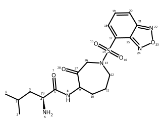 CC(C)C[C@H](N)C(=O)NC1CCCN(S(=O)(=O)c2cccc3nonc23)CC1=O